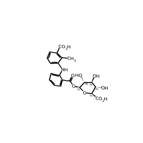 Cc1c(Nc2ccccc2C(=O)O[C@@H]2O[C@H](C(=O)O)[C@@H](O)[C@H](O)[C@H]2O)cccc1C(=O)O